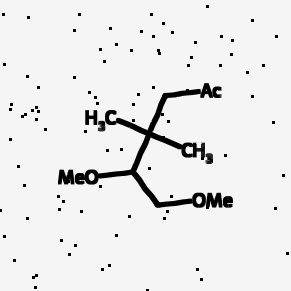 COCC(OC)C(C)(C)CC(C)=O